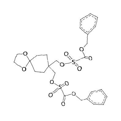 O=C(OCc1ccccc1)S(=O)(=O)OCC1(COS(=O)(=O)C(=O)OCc2ccccc2)CCC2(CC1)OCCO2